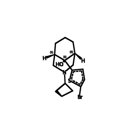 O[C@]1(c2ccc(Br)s2)[C@@H]2CCC[C@H]1CN(C13CC(C1)C3)C2